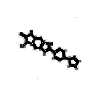 CCC1C(=O)Nc2cc3[nH]c(-c4ccc(-n5ccnc5)cc4)nc3cc21